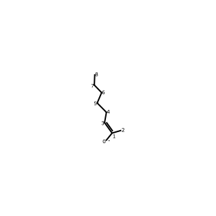 [CH2]C(C)=CCCCCC